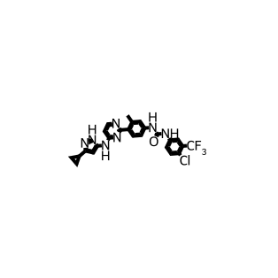 Cc1cc(NC(=O)Nc2ccc(Cl)c(C(F)(F)F)c2)ccc1-c1nccc(Nc2cc(C3CC3)n[nH]2)n1